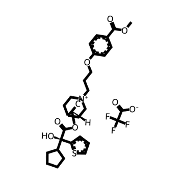 COC(=O)c1ccc(OCCC[N+]23CCC(CC2)[C@@H](OC(=O)[C@](O)(c2cccs2)C2CCCC2)C3)cc1.O=C([O-])C(F)(F)F